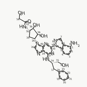 Nc1cccc2c1cnn2-c1nc(N[C@H](CO)Cc2ccccc2)c2ncn([C@@H]3C[C@H](NC(=O)CO)[C@@H](O)[C@H]3O)c2n1